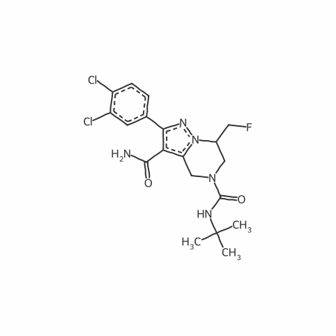 CC(C)(C)NC(=O)N1Cc2c(C(N)=O)c(-c3ccc(Cl)c(Cl)c3)nn2C(CF)C1